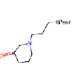 CCCCCCCCN1CCCC(=O)C1